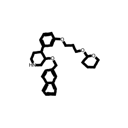 c1cc(OCCCOC2CCCCO2)cc(C2CCNCC2OCc2ccc3ccccc3c2)c1